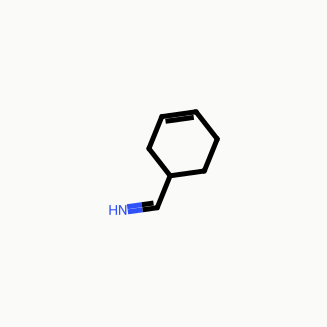 N=CC1CC=CCC1